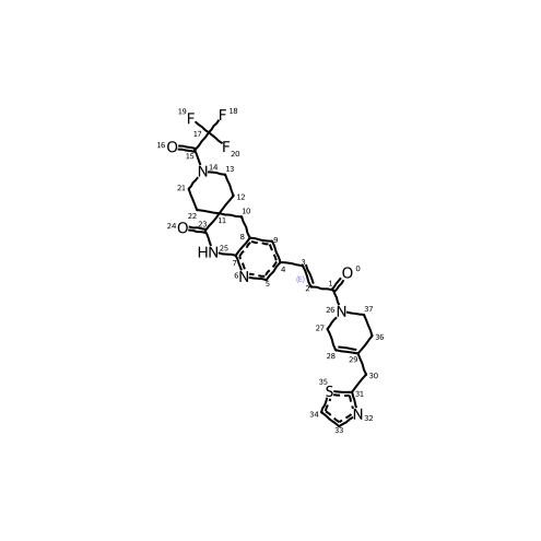 O=C(/C=C/c1cnc2c(c1)CC1(CCN(C(=O)C(F)(F)F)CC1)C(=O)N2)N1CC=C(Cc2nccs2)CC1